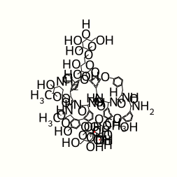 COC(=O)C1NC(=O)C2NC(=O)C(NC(=O)C3NC(=O)C4NC(=O)C(Cc5ccc(cc5)Oc5cc3cc(c5OC3OC(COC5OC(CO)C(O)C(O)C5O)C(O)C(O)C3O)Oc3ccc(cc3Cl)C2OC2CC(N)C(O)C(C)O2)NC(=O)C(N)c2ccc(O)c(c2)Oc2cc4cc(OC3OC(CO)C(O)C(O)C3O)c2C)c2ccc(O)c(c2)-c2c(OC3OC(CO)C(O)C(O)C3O)cc(O)cc21